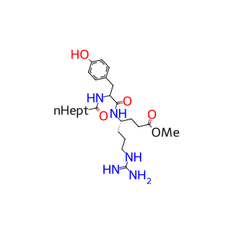 CCCCCCCC(=O)NC(Cc1ccc(O)cc1)C(=O)N[C@@H](CCCNC(=N)N)CCC(=O)OC